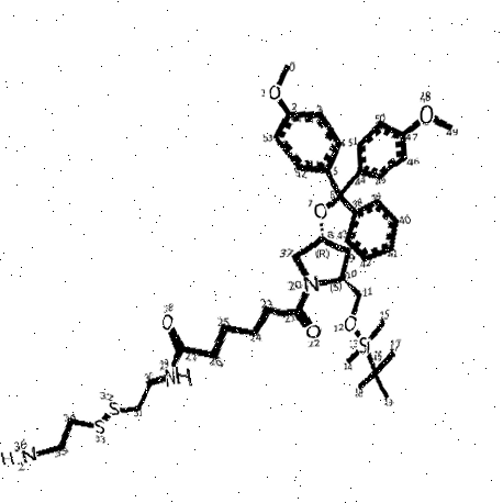 COc1ccc(C(O[C@@H]2C[C@@H](CO[Si](C)(C)C(C)(C)C)N(C(=O)CCCCC(=O)NCCSSCCN)C2)(c2ccccc2)c2ccc(OC)cc2)cc1